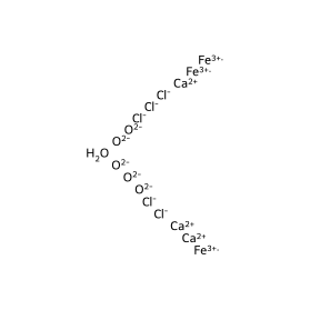 O.[Ca+2].[Ca+2].[Ca+2].[Cl-].[Cl-].[Cl-].[Cl-].[Cl-].[Fe+3].[Fe+3].[Fe+3].[O-2].[O-2].[O-2].[O-2].[O-2]